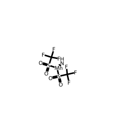 [NH]=[Mn]([S](=O)(=O)C(F)(F)F)[S](=O)(=O)C(F)(F)F